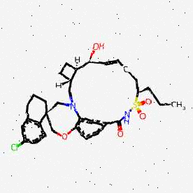 CCC[C@@H]1CC/C=C/[C@H](O)[C@@H]2CC[C@H]2CN2C[C@@]3(CCCc4cc(Cl)ccc43)COc3ccc(cc32)C(=O)NS1(=O)=O